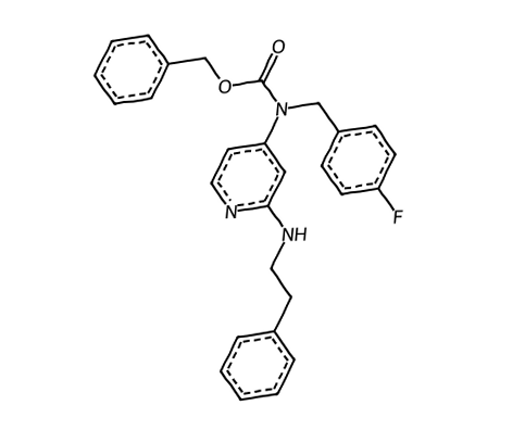 O=C(OCc1ccccc1)N(Cc1ccc(F)cc1)c1ccnc(NCCc2ccccc2)c1